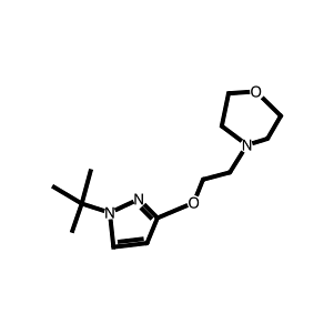 CC(C)(C)n1ccc(OCCN2CCOCC2)n1